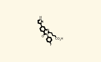 O=C(O)CCCc1nc2cc(-c3cc[nH]n3)ccc2c(=O)n1-c1ccc(F)cc1